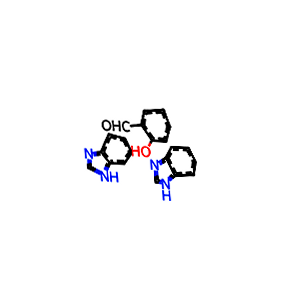 O=Cc1ccccc1O.c1ccc2[nH]cnc2c1.c1ccc2[nH]cnc2c1